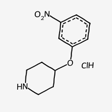 Cl.O=[N+]([O-])c1cccc(OC2CCNCC2)c1